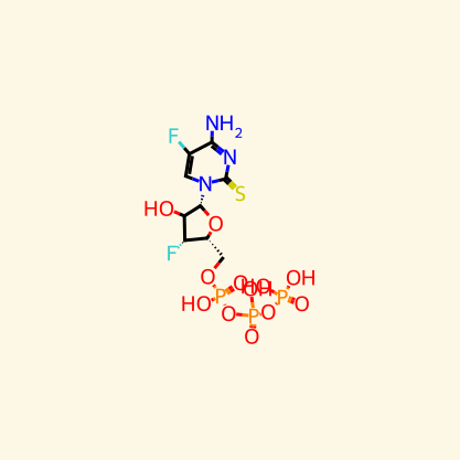 Nc1nc(=S)n([C@@H]2O[C@H](COP(=O)(O)OP(=O)(O)OP(=O)(O)O)[C@H](F)C2O)cc1F